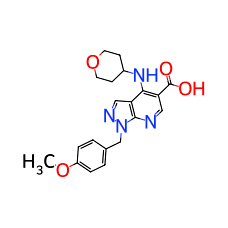 COc1ccc(Cn2ncc3c(NC4CCOCC4)c(C(=O)O)cnc32)cc1